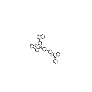 c1ccc(-n2c3ccccc3c3c4ccc(-c5ccc(N(c6ccc(-c7cccc8ccccc78)cc6)c6cccc7c6oc6ccccc67)cc5)cc4sc32)cc1